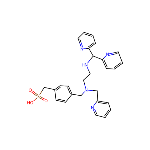 O=S(=O)(O)Cc1ccc(CN(CCNC(c2ccccn2)c2ccccn2)Cc2ccccn2)cc1